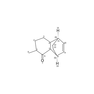 CC1CCC2C(C1=O)[C@@H]1C=C[C@H]2CC1